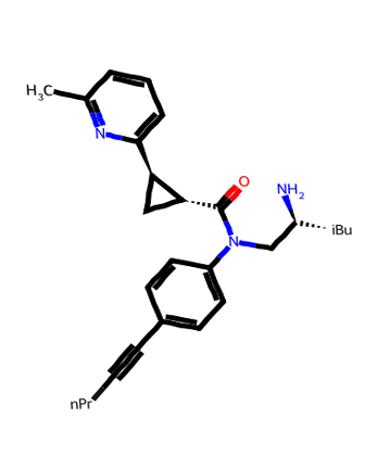 CCCC#Cc1ccc(N(C[C@@H](N)[C@@H](C)CC)C(=O)[C@@H]2C[C@H]2c2cccc(C)n2)cc1